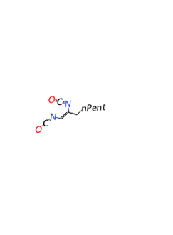 CCCCCCC(=CN=C=O)N=C=O